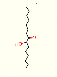 CCCCCCCC(=O)C(O)CCCCCC